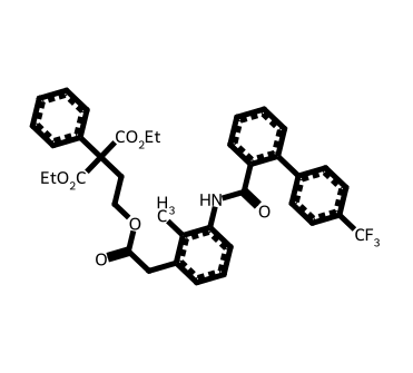 CCOC(=O)C(CCOC(=O)Cc1cccc(NC(=O)c2ccccc2-c2ccc(C(F)(F)F)cc2)c1C)(C(=O)OCC)c1ccccc1